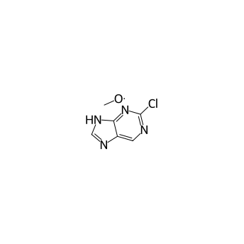 C[O].Clc1ncc2nc[nH]c2n1